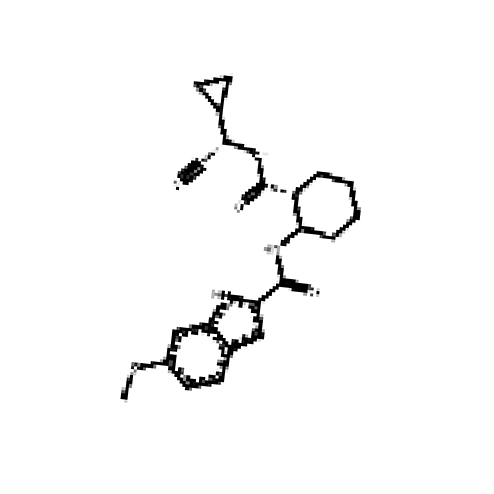 CSc1ccc2cc(C(=O)NC3CCCC[C@H]3C(=O)N[C@H](C#N)C3CC3)[nH]c2c1